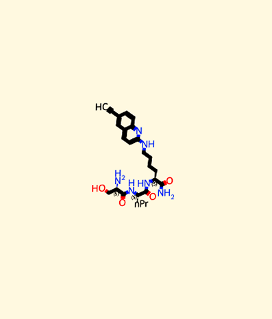 C#Cc1ccc2nc(NCCCC[C@H](NC(=O)[C@H](CCC)NC(=O)[C@@H](N)CO)C(N)=O)ccc2c1